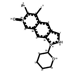 CC(C)c1c(I)c2cc3c[nH]n(C4CCCCO4)c3cc2c[n+]1=O